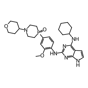 COc1cc(P2(=O)CCN(C3CCOCC3)CC2)ccc1Nc1nc(NC2CCCCC2)c2cc[nH]c2n1